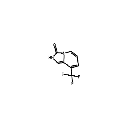 O=c1[nH]cc2c(C(F)(F)F)cccn12